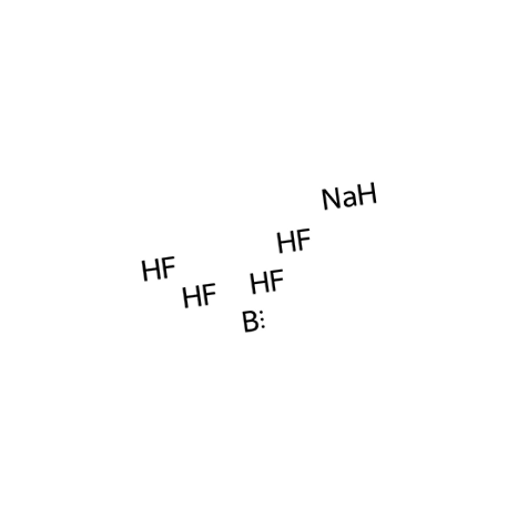 F.F.F.F.[B].[NaH]